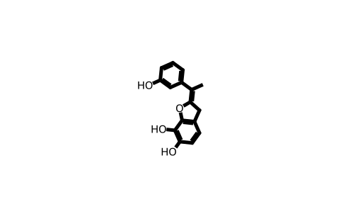 CC(=C1Cc2ccc(O)c(O)c2O1)c1cccc(O)c1